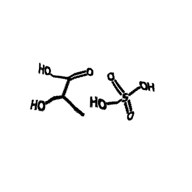 CC(O)C(=O)O.O=S(=O)(O)O